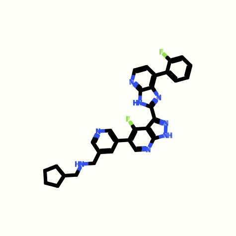 Fc1ccccc1-c1ccnc2[nH]c(-c3n[nH]c4ncc(-c5cncc(CNCC6CCCC6)c5)c(F)c34)nc12